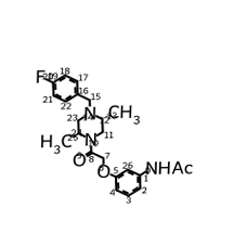 CC(=O)Nc1cccc(OCC(=O)N2C[C@@H](C)N(Cc3ccc(F)cc3)C[C@@H]2C)c1